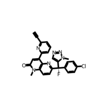 C#Cc1cccc(-c2cc(=O)n(C)c3ccc([C@](F)(c4ccc(Cl)cc4)c4cnnn4C)nc23)n1